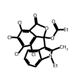 CCC(=O)OC1(c2c(C)n(CC)c3ccccc23)OC(=O)c2c(Cl)c(Cl)c(Cl)c(Cl)c21